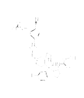 COC(=O)N[C@H]1CCC[C@@H]1[C@](CN1CCC1)(c1cccc(F)c1)C1CCN(CC2CN(c3ccc(C#N)c(CNC(C)=O)c3)C2)CC1